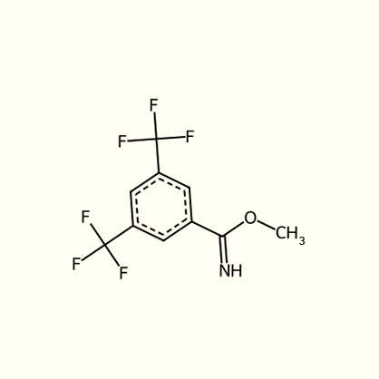 COC(=N)c1cc(C(F)(F)F)cc(C(F)(F)F)c1